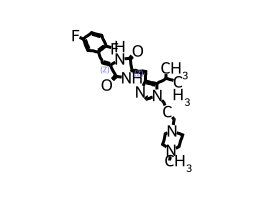 CC(C)c1c(/C=c2\[nH]c(=O)/c(=C/c3cc(F)ccc3F)[nH]c2=O)ncn1CCCN1CCN(C)CC1